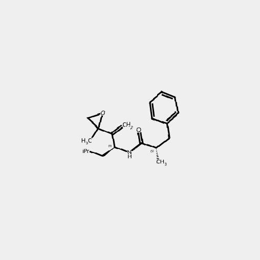 C=C([C@H](CC(C)C)NC(=O)[C@@H](C)Cc1ccccc1)C1(C)CO1